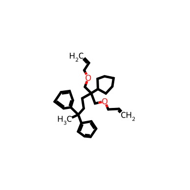 C=CCOCC(CCC(C)(c1ccccc1)c1ccccc1)(COCC=C)C1CCCCC1